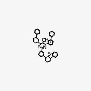 Cc1c(-c2cccc(-c3ccccc3)c2)nc(-c2cccc(C3=CC=CC4c5ccccc5SC34)c2)nc1C1C=C(c2ccccc2)C=CC1